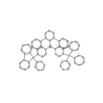 c1ccc(-c2cccc(-c3ccccc3)c2N(c2ccc(C3(c4ccccc4)c4ccccc4-c4ccccc43)cc2)c2ccc3c(c2)-c2ccccc2C3(c2ccccc2)c2ccccc2)cc1